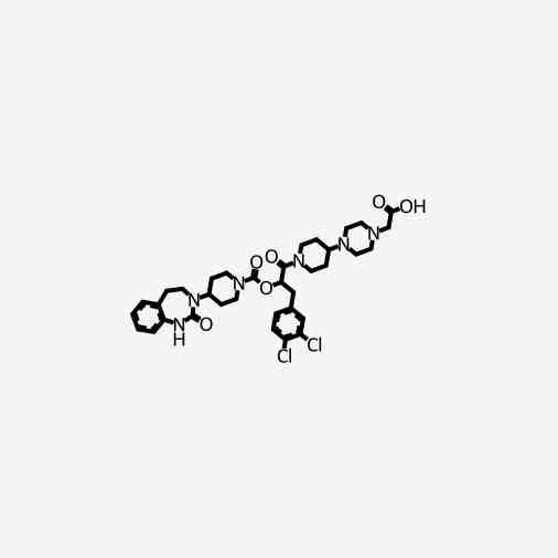 O=C(O)CN1CCN(C2CCN(C(=O)C(Cc3ccc(Cl)c(Cl)c3)OC(=O)N3CCC(N4CCc5ccccc5NC4=O)CC3)CC2)CC1